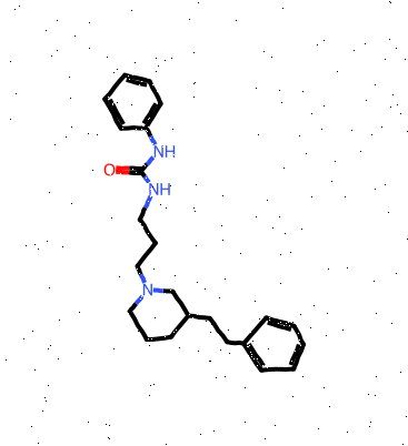 O=C(NCCCN1CCCC(CCc2ccccc2)C1)Nc1ccccc1